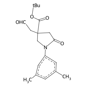 Cc1cc(C)cc(N2CC(CC=O)(C(=O)OC(C)(C)C)CC2=O)c1